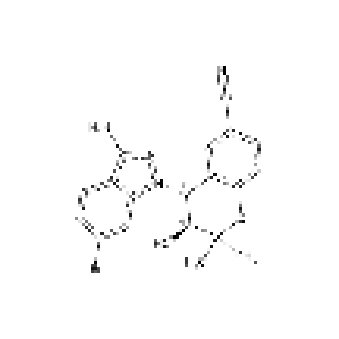 CC1(C)Oc2ccc(C#N)cc2[C@@H](n2nc(N)c3ccc(Br)cc32)[C@@H]1O